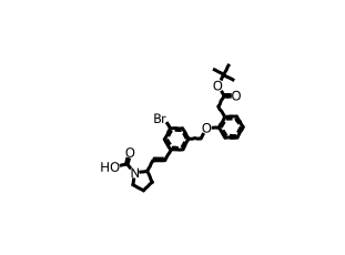 CC(C)(C)OC(=O)Cc1ccccc1OCc1cc(Br)cc(C=CC2CCCN2C(=O)O)c1